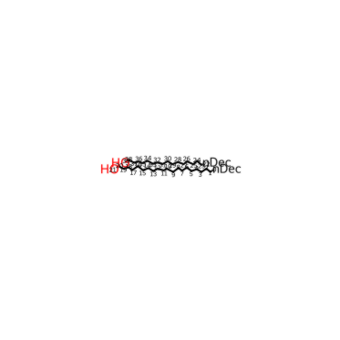 CCCCCCCCCCCCCCCCCCCCCCCCCCCCCCO.CCCCCCCCCCCCCCCCCCCCCCCCCCO